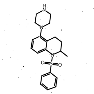 CC1CCc2c(N3CCNCC3)cccc2N1S(=O)(=O)c1ccccc1